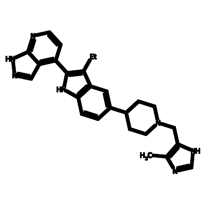 CCc1c(-c2ccnc3[nH]ncc23)[nH]c2ccc(C3CCN(Cc4[nH]cnc4C)CC3)cc12